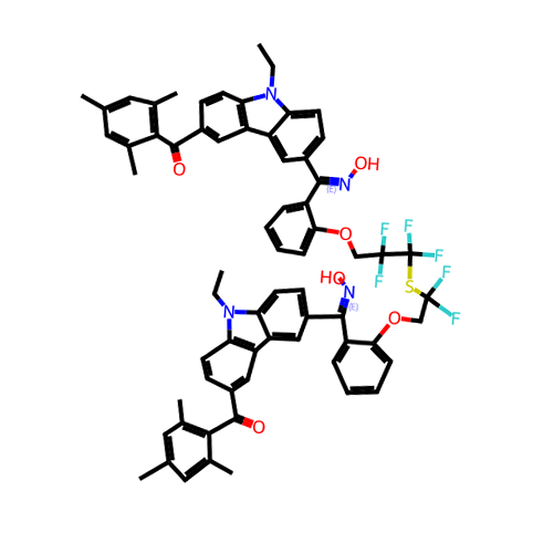 CCn1c2ccc(C(=O)c3c(C)cc(C)cc3C)cc2c2cc(/C(=N\O)c3ccccc3OCC(F)(F)SC(F)(F)C(F)(F)COc3ccccc3/C(=N/O)c3ccc4c(c3)c3cc(C(=O)c5c(C)cc(C)cc5C)ccc3n4CC)ccc21